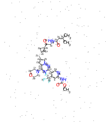 COC(=O)Nc1cc(C(F)(F)F)c(-c2nc(N3CCOCC3)c3cc(C[C@]45C[C@@](C(=O)CNC(=O)C=C(C)C)(C4)C5)cn3n2)cn1